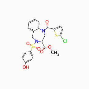 COC(=O)C1CN(C(=O)c2ccc(Cl)s2)c2ccccc2CN1S(=O)(=O)c1ccc(O)cc1